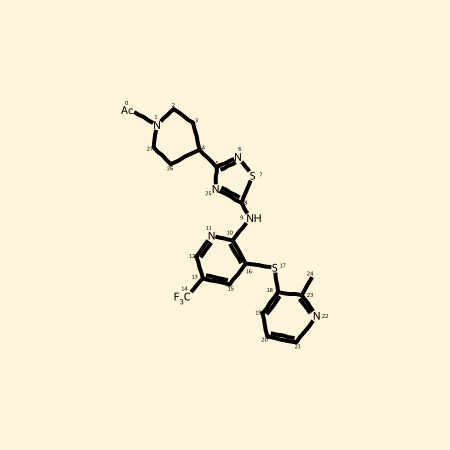 CC(=O)N1CCC(c2nsc(Nc3ncc(C(F)(F)F)cc3Sc3cccnc3C)n2)CC1